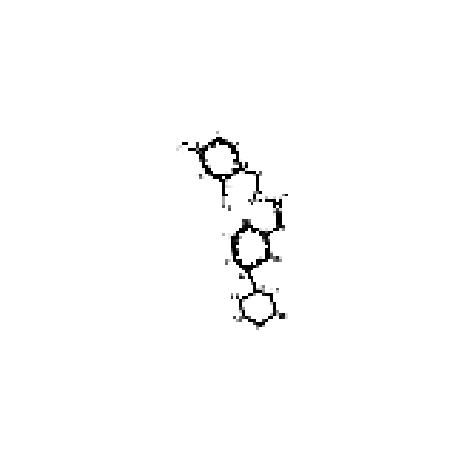 Fc1ccc(CO/N=[C]\c2cccc(C3CCCCC3)c2)c(F)c1